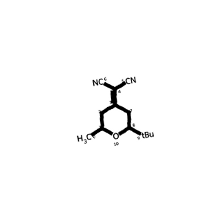 CC1CC(=C(C#N)C#N)CC(C(C)(C)C)O1